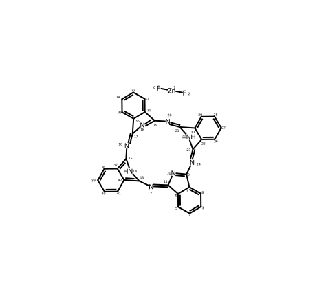 [F][Zn][F].c1ccc2c(c1)-c1nc-2nc2[nH]c(nc3nc(nc4[nH]c(n1)c1ccccc41)-c1ccccc1-3)c1ccccc21